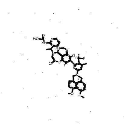 COc1ccc(CN(Cc2ccc(OC)cc2)c2cc(C)c(C(F)(F)F)c(-c3c(F)c4c5c(c3Cl)=NCNC=5N(C(C)c3cccnc3NC(=O)O)C=C(Cl)O4)n2)cc1